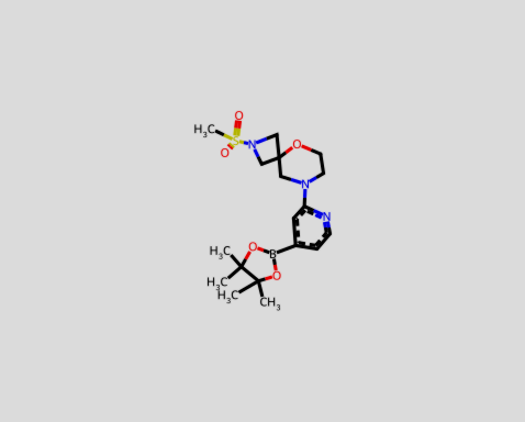 CC1(C)OB(c2ccnc(N3CCOC4(C3)CN(S(C)(=O)=O)C4)c2)OC1(C)C